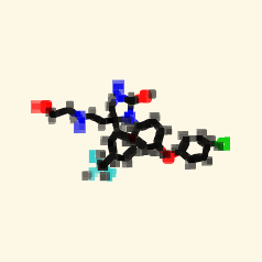 O=C1NCC(CCNCCO)(c2cccc(C(F)(F)F)c2)N1c1ccc(Oc2ccc(Cl)cc2)cc1